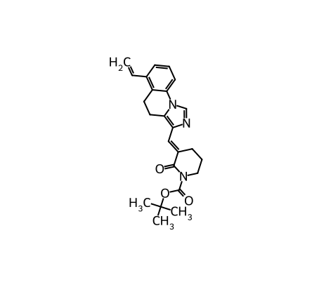 C=Cc1cccc2c1CCc1c(/C=C3\CCCN(C(=O)OC(C)(C)C)C3=O)ncn1-2